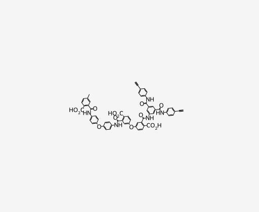 C#Cc1ccc(NC(=O)c2cc(NC(=O)c3cc(Oc4ccc(C(=O)O)c(C(=O)Nc5ccc(Oc6ccc(NC(=O)c7cc(C)ccc7C(=O)O)cc6)cc5)c4)ccc3C(=O)O)cc(C(=O)Nc3ccc(C#C)cc3)c2)cc1